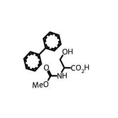 COC(=O)NC(CO)C(=O)O.c1ccc(-c2ccccc2)cc1